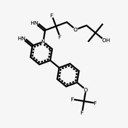 CC(C)(O)COCC(F)(F)C(=N)n1cc(-c2ccc(OC(F)(F)F)cc2)ccc1=N